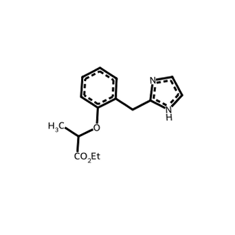 CCOC(=O)C(C)Oc1ccccc1Cc1ncc[nH]1